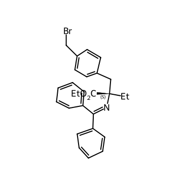 CCOC(=O)[C@](CC)(Cc1ccc(CBr)cc1)N=C(c1ccccc1)c1ccccc1